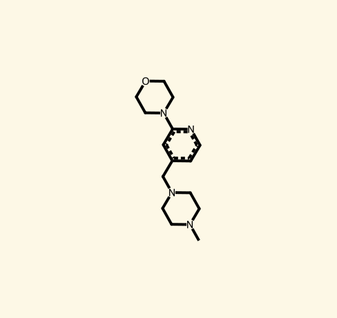 CN1CCN(Cc2ccnc(N3CCOCC3)c2)CC1